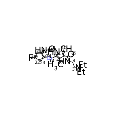 CCN(CC)CCNC(=O)c1c(C)[nH]c(/C=C2\C(=O)Nc3cc(F)ccc32)c1C